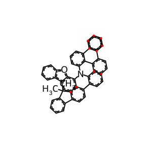 CC1(C)c2ccccc2-c2ccc(-c3ccccc3N(c3cccc(-c4ccccc4)c3-c3ccccc3-c3ccccc3)c3cccc4c3oc3ccccc34)cc21